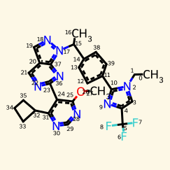 CCn1cc(C(F)(F)F)nc1-c1ccc(C(C)n2ncc3cnc(-c4c(OC)ncnc4C4CCC4)nc32)cc1